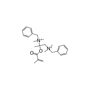 C=C(C)C(=O)OC(C)(C[N+](C)(C)Cc1ccccc1)[N+](C)(C)Cc1ccccc1